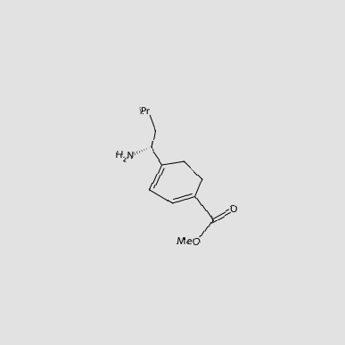 COC(=O)C1=CC=C([C@H](N)CC(C)C)CC1